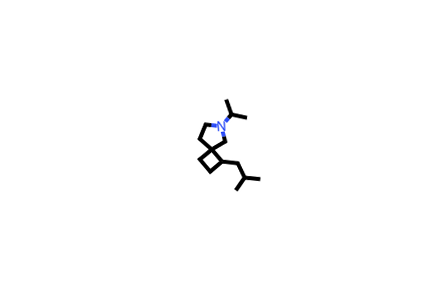 CC(C)CC1CCC12CCN(C(C)C)C2